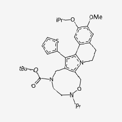 COc1cc2c(cc1OC(C)C)-c1c(-c3cccs3)c3c(n1CC2)CON(C(C)C)CCN(C(=O)OC(C)(C)C)C3